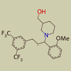 COc1ccccc1C([CH]Cc1cc(C(F)(F)F)cc(C(F)(F)F)c1)N1CCCC(CO)C1